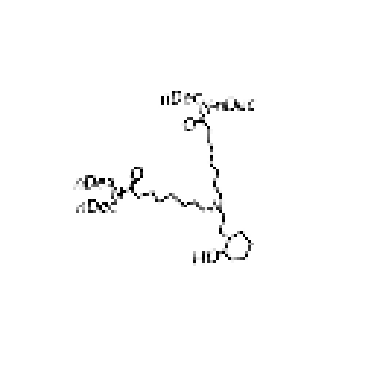 CCCCCCCCCCN(CCCCCCCCCC)C(=O)CCCCCCCN(CCCCCCCC(=O)N(CCCCCCCCCC)CCCCCCCCCC)CC[C@H]1CCCC[C@H]1O